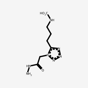 NNC(=O)Cn1nnnc1CCCNC(=O)O